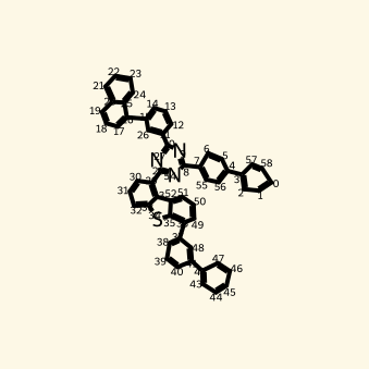 c1ccc(-c2ccc(-c3nc(-c4cccc(-c5cccc6ccccc56)c4)nc(-c4cccc5sc6c(-c7cccc(-c8ccccc8)c7)cccc6c45)n3)cc2)cc1